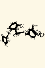 COc1ccc(CNC(=O)c2c(Cl)cccc2OCC2CCCC2)cc1F